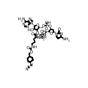 [N-]=[N+]=Nc1ccc(COC(=O)NCCC[C@H](N)C(=O)O[C@H]2[C@@H](O)[C@H](n3cnc4c(N)ncnc43)O[C@@H]2COP(=O)(O)O[C@H]2C[C@H](n3ccc(N)nc3=O)O[C@@H]2CO[PH](O)(O)O)cc1